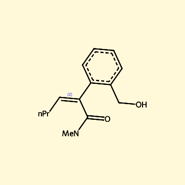 CCC/C=C(\C(=O)NC)c1ccccc1CO